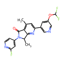 Cc1cc(-c2cncc(OC(F)F)c2)nc2c1C(=O)N(c1ccnc(F)c1)C2C